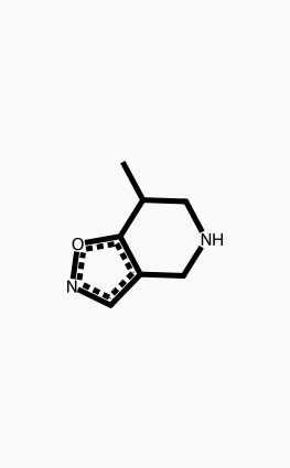 CC1CNCc2cnoc21